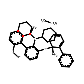 CC(C)Oc1cccc(OC(C)C)c1-c1ccc[c]([Pd][C]2(N)CC=CC=C2c2ccccc2)c1P(C1CCCCC1)C1CCCCC1.CS(=O)(=O)O